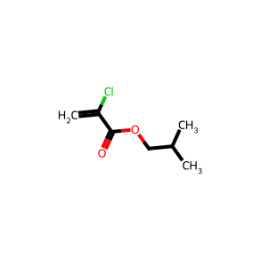 C=C(Cl)C(=O)OCC(C)C